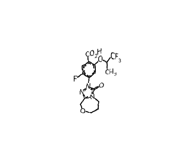 CC(Oc1cc(-n2nc3n(c2=O)CCCOC3)c(F)cc1C(=O)O)C(F)(F)F